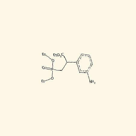 CCOC(=O)C(CP(=O)(OCC)OCC)c1cccc(N)c1